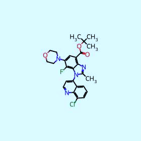 Cc1nc2c(C(=O)OC(C)(C)C)cc(N3CCOCC3)c(F)c2n1-c1ccnc2c(Cl)cccc12